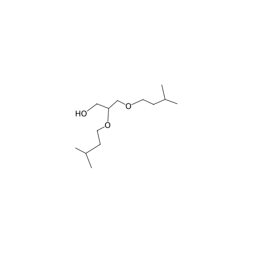 CC(C)CCOCC(CO)OCCC(C)C